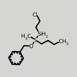 CCCCS(C)(OCc1ccccc1)[SiH2]CCCl